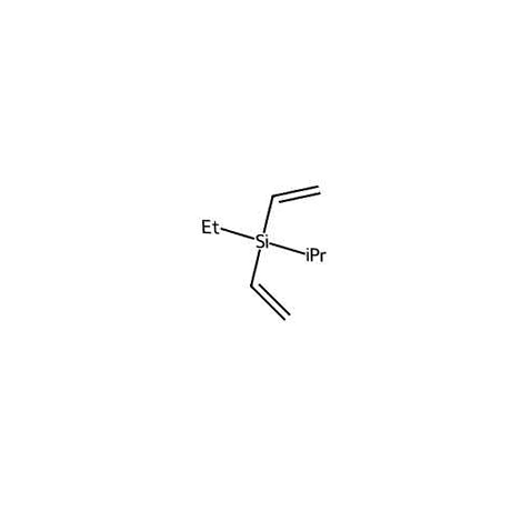 C=C[Si](C=C)(CC)C(C)C